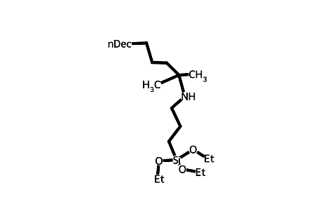 CCCCCCCCCCCCCC(C)(C)NCCC[Si](OCC)(OCC)OCC